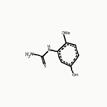 COc1ccc(O)cc1NC(N)=S